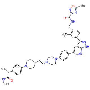 CCCC(C(=O)NC=O)c1ccc(N2CCC(CCN3CCN(c4ccc(-c5cnc6[nH]nc(-c7ccc(CNC(=O)c8noc(C(C)(C)C)n8)c(C)c7)c6c5)cc4)CC3)CC2)cc1